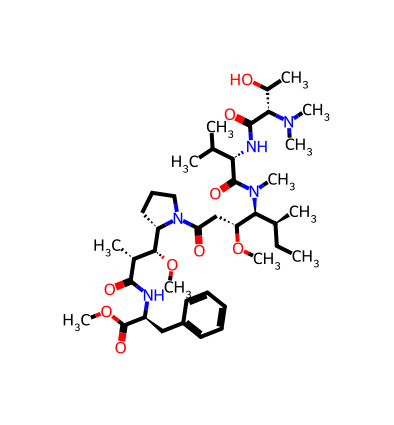 CC[C@H](C)[C@@H]([C@@H](CC(=O)N1CCC[C@H]1[C@H](OC)[C@@H](C)C(=O)N[C@@H](Cc1ccccc1)C(=O)OC)OC)N(C)C(=O)[C@@H](NC(=O)[C@H](C(C)O)N(C)C)C(C)C